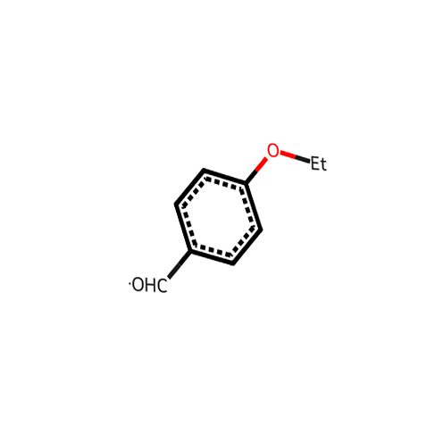 CCOc1ccc([C]=O)cc1